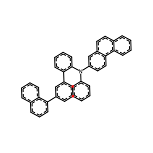 c1ccc(N(c2ccc3c(ccc4ccccc43)c2)c2ccccc2-c2cccc(-c3cccc4ccccc34)c2)cc1